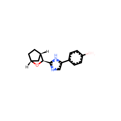 Bc1ccc(-c2cnc([C@H]3O[C@@H]4CC[C@H]3C4)[nH]2)cc1